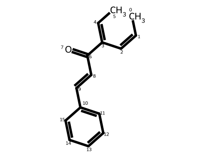 C/C=C\C(=C/C)C(=O)/C=C/c1ccccc1